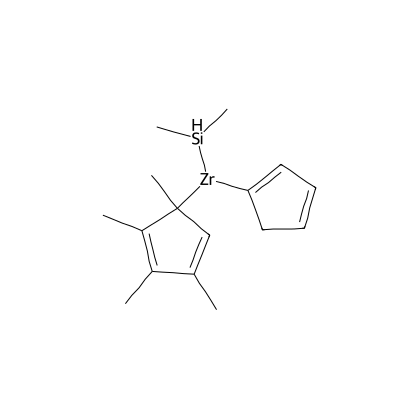 CC1=C[C](C)([Zr]([C]2=CC=CC2)[SiH](C)C)C(C)=C1C